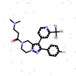 [2H]C([2H])([2H])c1cc(-c2c(-c3ccc(F)cc3)nn3c2CN(C(=O)CCN(C)C)CC3)ccn1